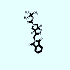 CC(C)(C)OC(=O)N1C[C@@H]2ON=C(CN3C(=O)c4ccccc4C3=O)[C@@H]2C1